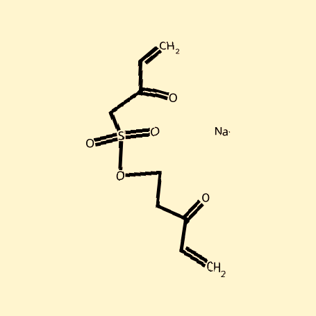 C=CC(=O)CCOS(=O)(=O)CC(=O)C=C.[Na]